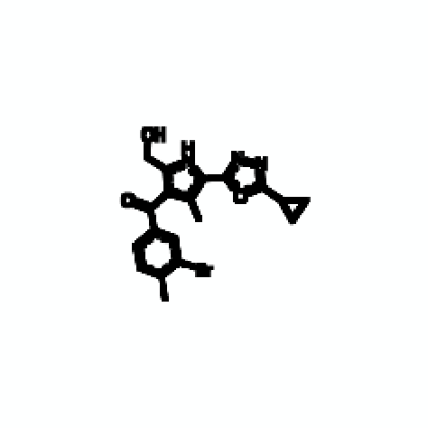 Cc1ccc(C(=O)c2c(CO)[nH]c(-c3nnc(C4CC4)o3)c2C)cc1Br